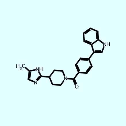 Cc1cnc(C2CCN(C(=O)c3ccc(-c4c[nH]c5ccccc45)cc3)CC2)[nH]1